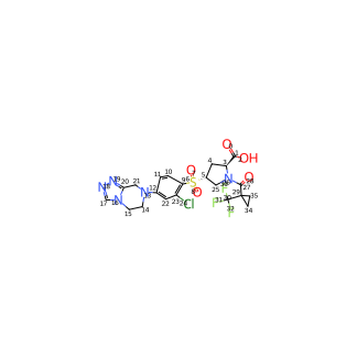 O=C(O)[C@@H]1C[C@@H](S(=O)(=O)c2ccc(N3CCn4cnnc4C3)cc2Cl)CN1C(=O)C1(C(F)(F)F)CC1